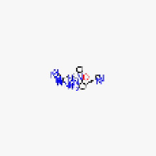 C[C@H](NCc1c(N)nn2cnncc12)c1nc2cccc(C#Cc3ccn(C)n3)c2c(=O)n1-c1ccccc1